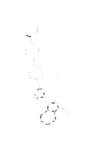 CC(C)c1nn(-c2noc(C3CCN(C4CCN(C(=O)CO)CC4)CC3)n2)c2c(F)cccc12.Cl